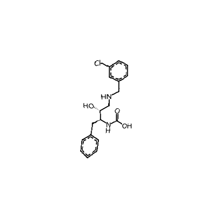 O=C(O)N[C@@H](Cc1ccccc1)[C@H](O)CNCc1cccc(Cl)c1